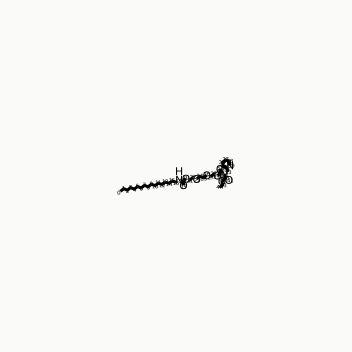 CCCCCCCCCCCCCCCCCNC(=O)OCCOCCOCCOC(=O)N(Cc1ccccn1)C(=O)OCC